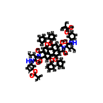 C=C(C)C(=O)OC1CCCC(NC(=O)C(CCC)N2C(=O)c3cc(Oc4ccccc4)c4c5c(Oc6ccccc6)cc6c7c(cc(Oc8ccccc8)c(c8c(Oc9ccccc9)cc(c3c48)C2=O)c75)C(=O)N(C(CCC)C(=O)NC2CCCC(OC(=O)C(=C)C)C2)C6=O)C1